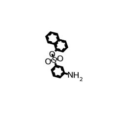 Nc1cccc(S(=O)(=O)Oc2cccc3ccccc23)c1